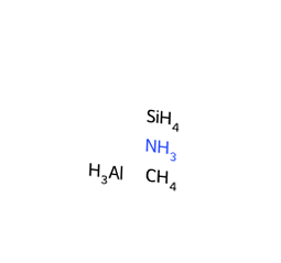 C.N.[AlH3].[SiH4]